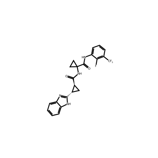 O=C(NC1(C(=O)Nc2cccc(C(F)(F)F)c2F)CC1)[C@H]1C[C@@H]1c1nc2ccccc2[nH]1